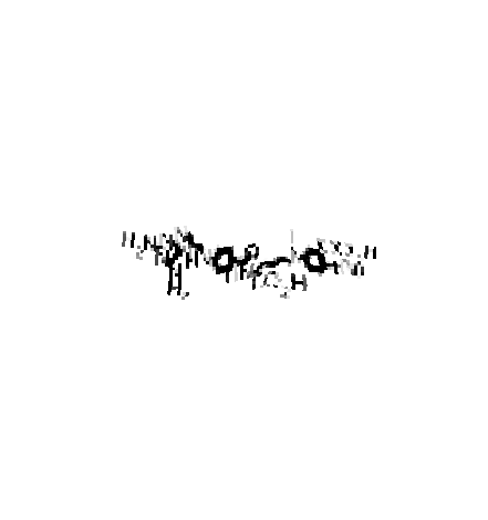 CC(C)(C)c1ccc(NCCCC[C@H](NC(=O)c2ccc(NCc3cnc4nc(N)nc(N)c4n3)cc2)C(=O)O)cc1C(=O)O